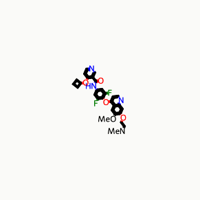 CNCCOc1cc2nccc(Oc3c(F)cc(NC(=O)c4cnccc4OC4CCC4)cc3F)c2cc1OC